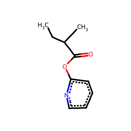 CCC(C)C(=O)Oc1ccccn1